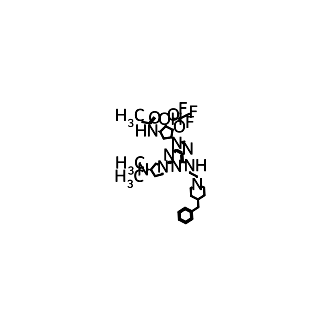 CCC(=O)N[C@H]1C[C@@H](n2cnc3c(NCCN4CCC(Cc5ccccc5)CC4)nc(N4CC[C@@H](N(C)C)C4)nc32)[C@H](OC(=O)C(F)(F)F)[C@@H]1O